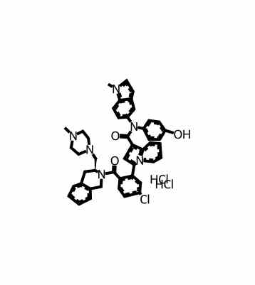 CN1CCN(C[C@@H]2Cc3ccccc3CN2C(=O)c2ccc(Cl)cc2-c2cc(C(=O)N(c3ccc(O)cc3)c3ccc4c(ccn4C)c3)c3ccccn23)CC1.Cl.Cl